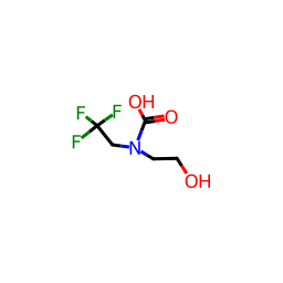 O=C(O)N(CCO)CC(F)(F)F